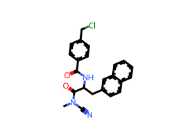 CN(C#N)C(=O)C(Cc1ccc2ccccc2c1)NC(=O)c1ccc(CCl)cc1